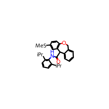 CSc1ccc2c(c1)C(C(=O)Nc1c(C(C)C)cccc1C(C)C)c1ccccc1CO2